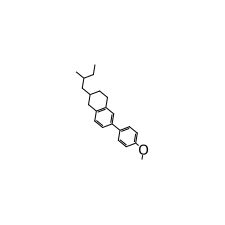 CCC(C)CC1CCc2cc(-c3ccc(OC)cc3)ccc2C1